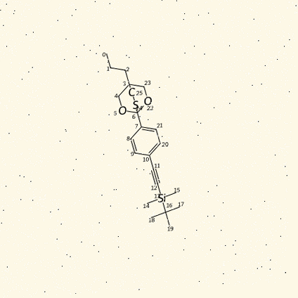 CCCC12COC(c3ccc(C#C[Si](C)(C)C(C)(C)C)cc3)(OC1)SC2